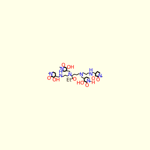 CCC(=O)C(CCCN(CCCNCc1ccn(C)c(=O)c1O)Cc1ccn(C)c(=O)c1O)N(CCCNCc1ccn(C)c(=O)c1O)Cc1ccn(C)c(=O)c1O